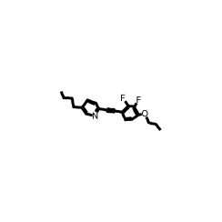 CCCCc1ccc(C#Cc2ccc(OCCC)c(F)c2F)nc1